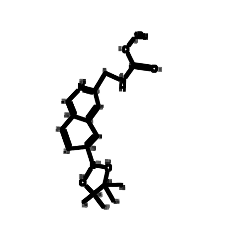 CC(C)(C)OC(=O)NCc1cc2cc(B3OC(C)(C)C(C)(C)O3)ccc2cn1